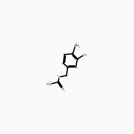 NC(=O)OCc1ccc(N)c(Cl)c1